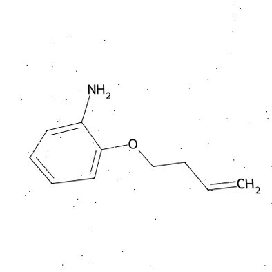 C=CCCOc1ccccc1N